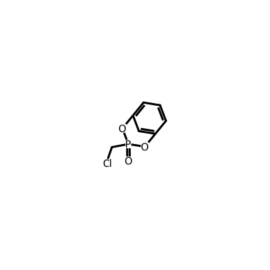 O=P1(CCl)Oc2cccc(c2)O1